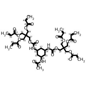 C=CC(=O)OCC(COC(=O)C=C)(COC(=O)C=C)COC(=O)NC1CC(NC(C)=O)CC(NC(=O)OCC(COC(=O)C=C)(COC(=O)C=C)COC(=O)C=C)C1